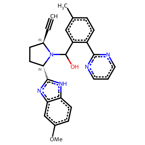 C#C[C@@H]1CC[C@@H](c2nc3cc(OC)ccc3[nH]2)N1C(O)c1cc(C)ccc1-c1ncccn1